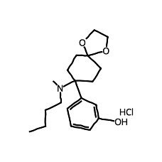 CCCCN(C)C1(c2cccc(O)c2)CCC2(CC1)OCCO2.Cl